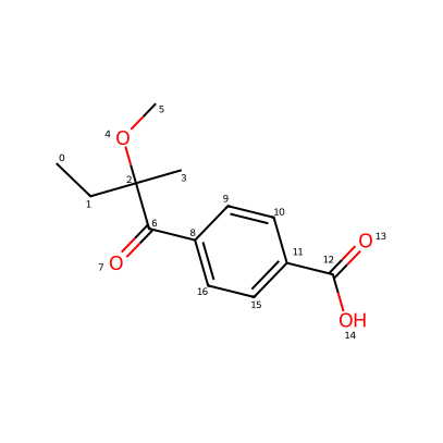 CCC(C)(OC)C(=O)c1ccc(C(=O)O)cc1